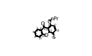 CCCOC1=C2C(=O)c3ccccc3OC2C(=S)C=C1